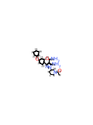 CC(=O)N1CCC[C@H](n2nc(-c3ccc(Oc4ccccc4)cc3)c(C(N)=O)c2N)C1